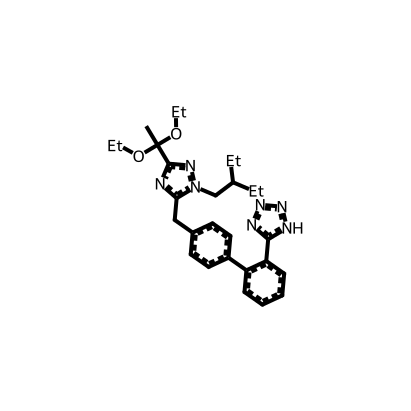 CCOC(C)(OCC)c1nc(Cc2ccc(-c3ccccc3-c3nnn[nH]3)cc2)n(CC(CC)CC)n1